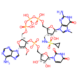 CO[C@@H]1[C@H](OP(=O)([O-])OC[C@H]2O[C@@H](n3ccc(=O)[nH]c3=O)[C@H](O)[C@@H]2O)[C@@H](COP(=O)(O)OP(=O)(O)OP(=O)(O)OC[C@H]2O[C@@H](n3c[n+](C)c4c(=O)[nH]c(N)nc43)[C@H](O)[C@@H]2CNS(=O)(=O)C2CC2)O[C@H]1n1cnc2c(N)ncnc21